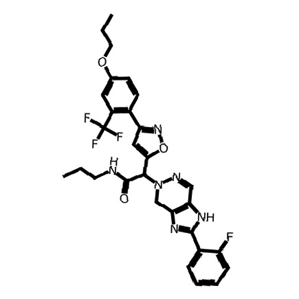 CCCNC(=O)C(c1cc(-c2ccc(OCCC)cc2C(F)(F)F)no1)N1Cc2nc(-c3ccccc3F)[nH]c2C=N1